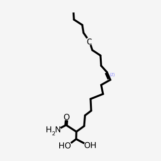 CCCCCCCC/C=C\CCCCCCC(C(N)=O)C(O)O